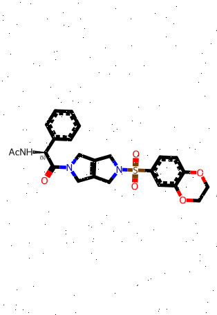 CC(=O)N[C@H](C(=O)N1CC2=C(C1)CN(S(=O)(=O)c1ccc3c(c1)OCCO3)C2)c1ccccc1